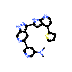 CN(C)c1cncc(-c2cc3c(-c4cc5c(-c6cccs6)ccnc5[nH]4)n[nH]c3cn2)c1